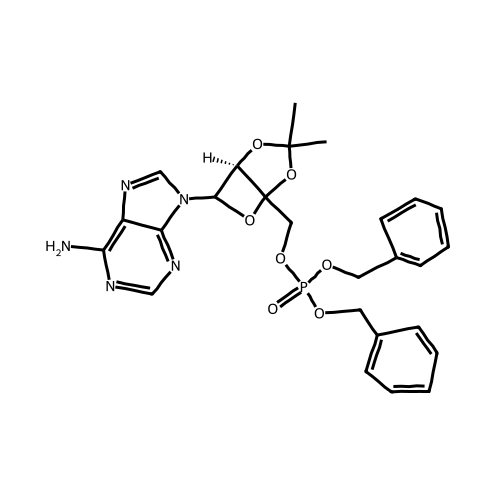 CC1(C)O[C@@H]2C(n3cnc4c(N)ncnc43)OC2(COP(=O)(OCc2ccccc2)OCc2ccccc2)O1